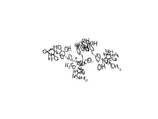 COC[C@H]1[C@@H](O)[C@H](n2c[n+](C)c3c(=O)[nH]c(N)nc32)O[C@@H]1COP(=O)(O)OP(=O)(O)OP(=O)(O)OC[C@H]1O[C@@H](n2cnc3c(N)ncnc32)[C@H](OC)[C@@H]1SCOC[C@H]1O[C@@H](n2ccc(=O)[nH]c2=O)[C@H](O)[C@@H]1O